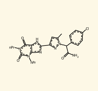 CCCn1c(=O)c2[nH]c(-c3cc(C)n(C(C(N)=O)c4ccc(Cl)cc4)n3)nc2n(CCC)c1=O